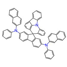 c1ccc(N(c2ccc3c(c2)C2(c4cc(N(c5ccccc5)c5ccc6ccccc6c5)ccc4-3)c3ccccc3-n3c4ccccc4c4cccc2c43)c2ccc3ccccc3c2)cc1